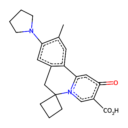 Cc1cc2c(cc1N1CCCC1)CC1(CCC1)n1cc(C(=O)O)c(=O)cc1-2